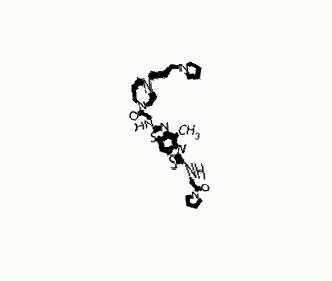 Cc1c2nc(NCC(=O)N3CCCC3)sc2cc2sc(NCC(=O)N3CCCN(CCCN4CCCC4)CC3)nc12